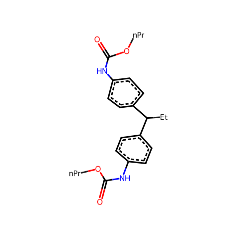 CCCOC(=O)Nc1ccc(C(CC)c2ccc(NC(=O)OCCC)cc2)cc1